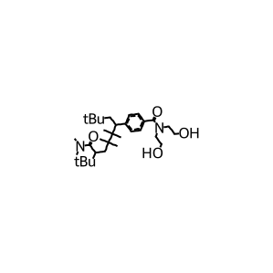 CN(C)C(=O)C(CC(C)(C)C(C)(C)C(CC(C)(C)C)c1ccc(C(=O)N(CCO)CCO)cc1)C(C)(C)C